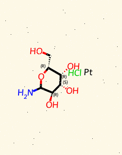 Cl.NC1O[C@H](CO)[C@H](O)[C@H](O)[C@H]1O.[Pt]